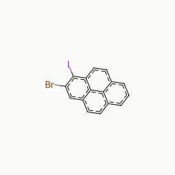 Brc1cc2ccc3cccc4ccc(c1I)c2c34